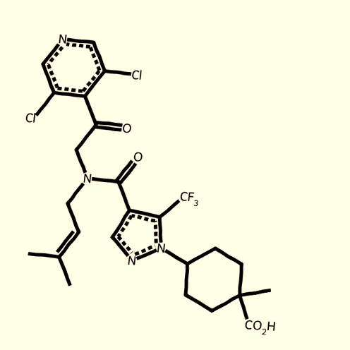 CC(C)=CCN(CC(=O)c1c(Cl)cncc1Cl)C(=O)c1cnn(C2CCC(C)(C(=O)O)CC2)c1C(F)(F)F